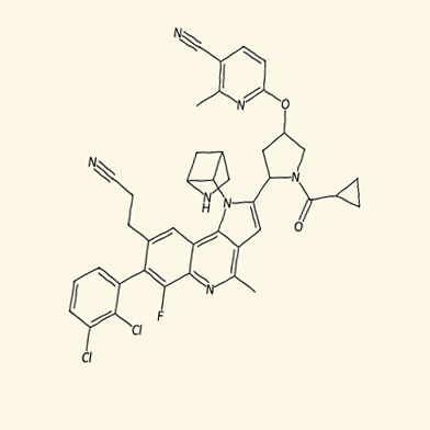 Cc1nc(OC2CC(c3cc4c(C)nc5c(F)c(-c6cccc(Cl)c6Cl)c(CCC#N)cc5c4n3C3C4CNC3C4)N(C(=O)C3CC3)C2)ccc1C#N